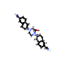 N#Cc1ccc2c(c1)CCC(N1CCN([C@H]3CCc4cc(C#N)ccc4C3)C(=O)C1)C2